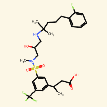 CC(CC(=O)O)c1cc(C(F)(F)F)cc(S(=O)(=O)N(C)CC(O)CNC(C)(C)CCCc2ccccc2F)c1